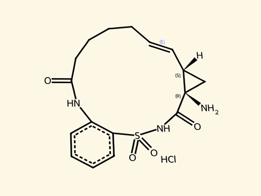 Cl.N[C@]12C[C@H]1/C=C/CCCCC(=O)Nc1ccccc1S(=O)(=O)NC2=O